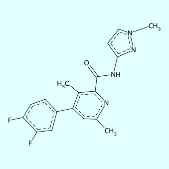 Cc1cc(-c2ccc(F)c(F)c2)c(C)c(C(=O)Nc2ccn(C)n2)n1